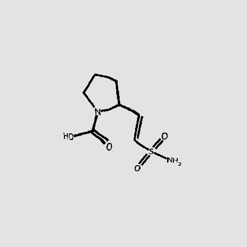 NS(=O)(=O)C=CC1CCCN1C(=O)O